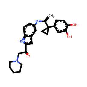 C=C(Nc1ccc2[nH]c(C(=O)CN3CCCCC3)cc2c1)C1(c2ccc(O)c(O)c2)CC1